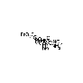 CCCOc1ccc(S(=O)(=O)N2CCC(C(=O)OCC)CC2)cc1-c1nc2cc(N)c([N+](=O)[O-])cc2c(=O)[nH]1